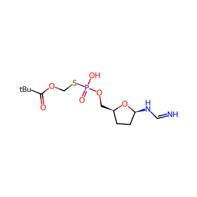 CC(C)(C)C(=O)OCSP(=O)(O)OC[C@@H]1CC[C@H](NC=N)O1